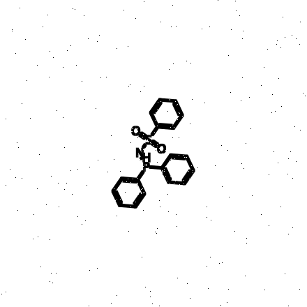 O=S(=O)(N=[PH](c1ccccc1)c1ccccc1)c1ccccc1